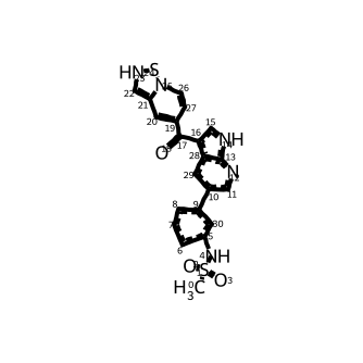 CS(=O)(=O)Nc1cccc(-c2cnc3[nH]cc(C(=O)C4=CC5=CNSN5C=C4)c3c2)c1